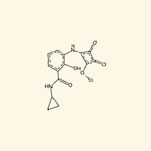 CCOc1c(Nc2cccc(C(=O)NC3CC3)c2O)c(=O)c1=O